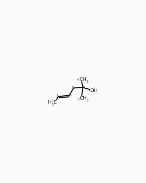 C/C=C/CC(C)(C)O